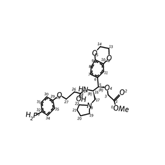 COC(=O)CO[C@H](c1ccc2c(c1)OCCO2)[C@@H](CN1CCCC1)NC(O)CCOc1ccc(P)cc1